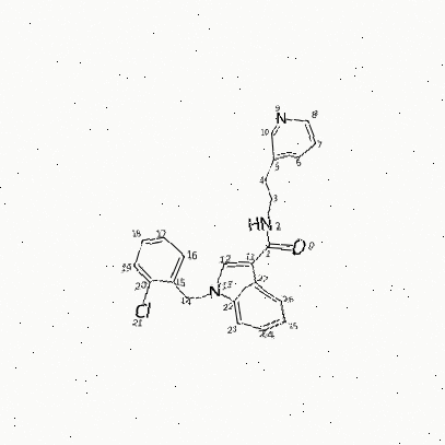 O=C(NCCc1cccnc1)c1cn(Cc2ccccc2Cl)c2ccccc12